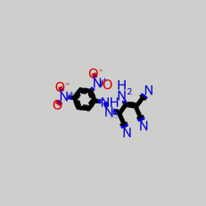 N#CC(C#N)=C(N)/C(C#N)=N\Nc1ccc([N+](=O)[O-])cc1[N+](=O)[O-]